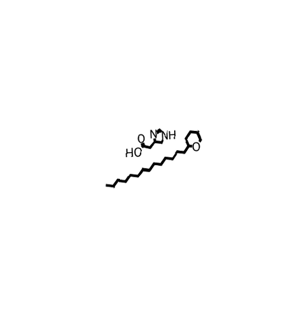 CCCCCCCCCCCCCCC1CCCCO1.O=C(O)CC1CNC=N1